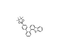 CC1(C)OB(c2ccc(-c3ccccc3-c3cccc4c3sc3ccccc34)cc2)OC1(C)C